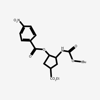 CCOC(=O)C1CC(NC(=O)OC(C)(C)C)C(OC(=O)c2ccc([N+](=O)[O-])cc2)C1